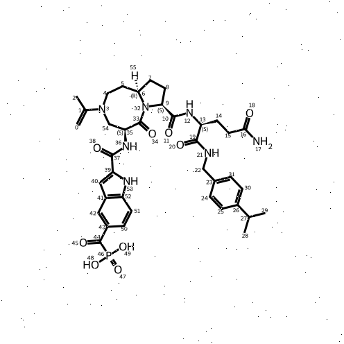 C=C(C)N1CC[C@H]2CC[C@@H](C(=O)N[C@@H](CCC(N)=O)C(=O)NCc3ccc(C(C)C)cc3)N2C(=O)[C@@H](NC(=O)c2cc3cc(C(=O)P(=O)(O)O)ccc3[nH]2)C1